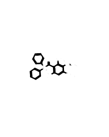 CCCOc1c(C)cc(C)c(C(=O)P(=O)(c2ccccc2)c2ccccc2)c1C